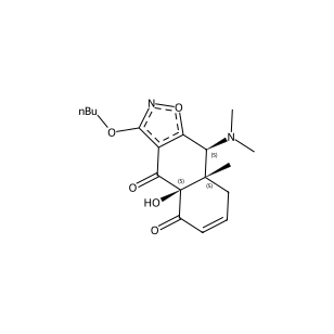 CCCCOc1noc2c1C(=O)[C@@]1(O)C(=O)C=CC[C@@]1(C)[C@@H]2N(C)C